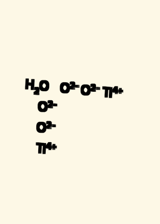 O.[O-2].[O-2].[O-2].[O-2].[Ti+4].[Ti+4]